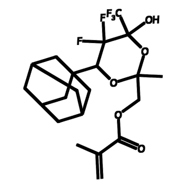 C=C(C)C(=O)OCC1(C)OC(C23CC4CC(CC(C4)C2)C3)C(F)(F)C(O)(C(F)(F)F)O1